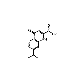 CC(C)c1ccc2c(=O)cc(C(=O)O)[nH]c2c1